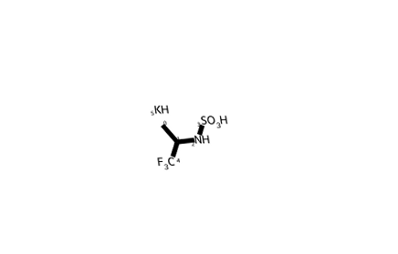 CC(NS(=O)(=O)O)C(F)(F)F.[KH]